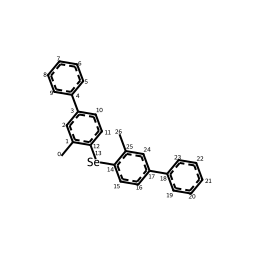 Cc1cc(-c2ccccc2)ccc1[Se]c1ccc(-c2ccccc2)cc1C